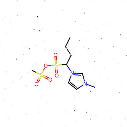 CCCC([n+]1ccn(C)c1)S(=O)(=O)OS(C)(=O)=O